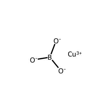 [Cu+3].[O-]B([O-])[O-]